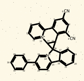 N#Cc1cc(C#N)c2c(c1)-c1cccc[n+]1C1C2C12c1ccccc1-c1ccc(-c3ccccc3)c[n+]12